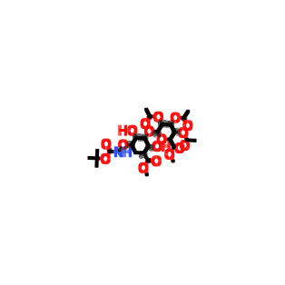 COC(=O)C1O[C@@H](O[C@@H]2[C@@H](O)[C@H](ONC(=O)OC(C)(C)C)C[C@H](C(=O)OC)[C@H]2O)[C@H](OC(C)=O)[C@@H](OC(C)=O)[C@@H]1OC(C)=O